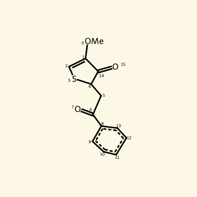 COC1=CSC(CC(=O)c2ccccc2)C1=O